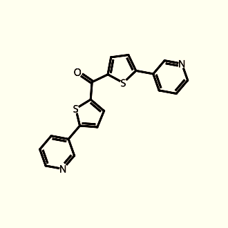 O=C(c1ccc(-c2cccnc2)s1)c1ccc(-c2cccnc2)s1